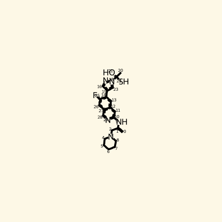 C=C(CN1CCCCC1)Nc1cc2cc(-c3cnn(C(C)(O)S)c3)c(F)cc2cn1